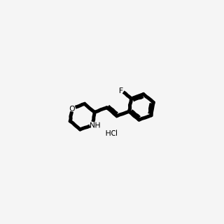 Cl.Fc1ccccc1/C=C/C1COCCN1